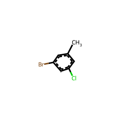 Cc1cc(Cl)[c]c(Br)c1